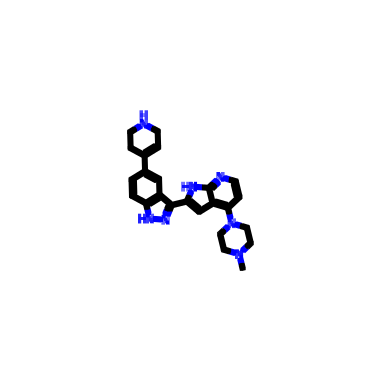 CN1CCN(c2ccnc3[nH]c(-c4n[nH]c5ccc(C6=CCNCC6)cc45)cc23)CC1